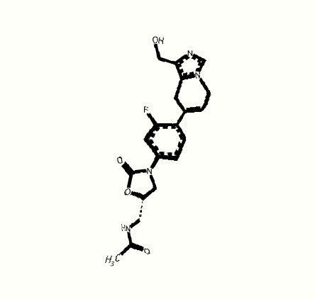 CC(=O)NC[C@H]1CN(c2ccc(C3=CCn4cnc(CO)c4C3)c(F)c2)C(=O)O1